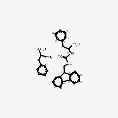 NC(Cc1ccccc1)C(=O)O.O=C(NC(Cc1ccccc1)C(=O)O)OCC1c2ccccc2-c2ccccc21